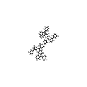 CC12CC(N(c3ccc(-c4ccc(N(c5cccc(-c6ccccc6)c5)c5ccc6c(c5)c5ccccc5n6C5=CC=CCC5)cc4)cc3)c3cccc(-c4ccccc4)c3)=CC=C1N(c1ccccc1)c1ccccc12